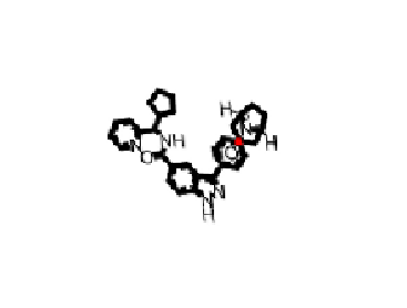 O=C(NC(c1ccccn1)C1CCCC1)c1ccc2[nH]nc(-c3ccc(N4[C@@H]5CC[C@H]4C[C@@H](O)C5)cc3)c2c1